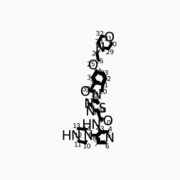 O=C(Nc1cnccc1N1CCNCC1)c1nnc(N2Cc3ccc(OCCN4CCOCC4)cc3C2=O)s1